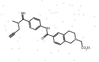 C#CCN(C)C(=N)c1ccc(NC(=O)c2ccc3c(c2)CCN(CC(=O)OCC)C3)cc1